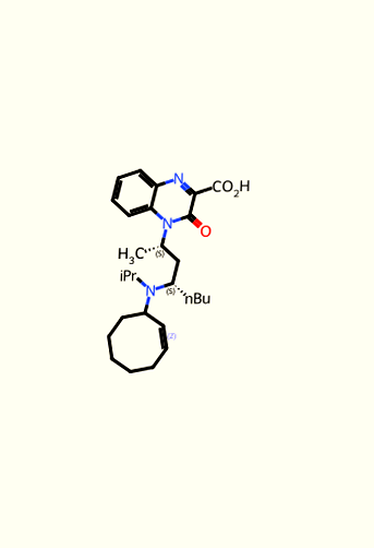 CCCC[C@@H](C[C@H](C)n1c(=O)c(C(=O)O)nc2ccccc21)N(C(C)C)C1/C=C\CCCCC1